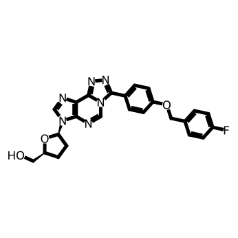 OC[C@@H]1CC[C@H](n2cnc3c2ncn2c(-c4ccc(OCc5ccc(F)cc5)cc4)nnc32)O1